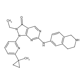 CCn1c(=O)c2cnc(Nc3ccc4c(c3)CCNC4)nc2n1-c1cccc(C2(C)CC2)n1